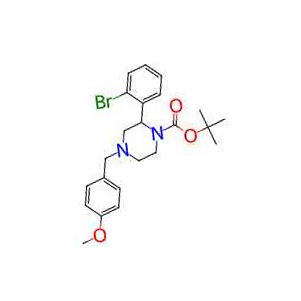 COc1ccc(CN2CCN(C(=O)OC(C)(C)C)C(c3ccccc3Br)C2)cc1